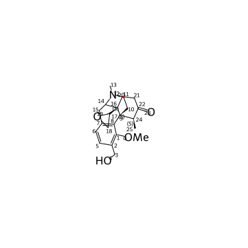 COc1c(CO)ccc2c1[C@]13CCN(C)C(C2)[C@]1(C1CO1)CCC(=O)[C@H]3C